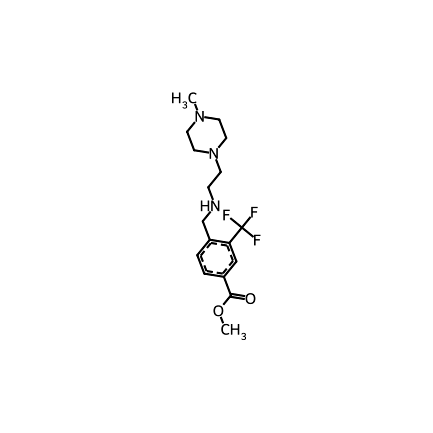 COC(=O)c1ccc(CNCCN2CCN(C)CC2)c(C(F)(F)F)c1